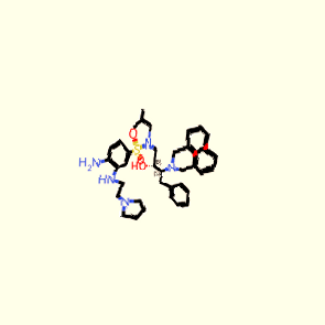 CC(C)CN(C[C@@H](O)[C@H](Cc1ccccc1)N(Cc1ccccc1)Cc1ccccc1)S(=O)(=O)c1ccc(N)c(NCCN2CCCC2)c1